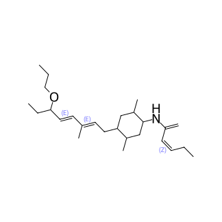 C=C(/C=C\CC)NC1CC(C)C(C/C=C(C)/C=C/C(CC)OCCC)CC1C